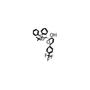 CC(C)(C)[Si](OC[C@H]1O[C@H](c2ccc(C(F)(F)F)cc2)C=C[C@H]1O)(c1ccccc1)c1ccccc1